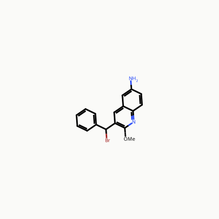 COc1nc2ccc(N)cc2cc1C(Br)c1ccccc1